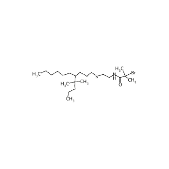 CCCCCCC(CCCSCCNC(=O)C(C)(C)Br)C(C)(C)CCC